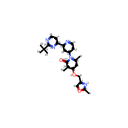 Cc1nc(COc2cc(C)n(-c3ccnc(-c4ccnc(C(C)(C)C)n4)c3)c(=O)c2C)co1